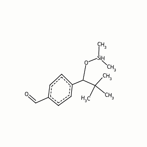 C[SiH](C)OC(c1ccc(C=O)cc1)C(C)(C)C